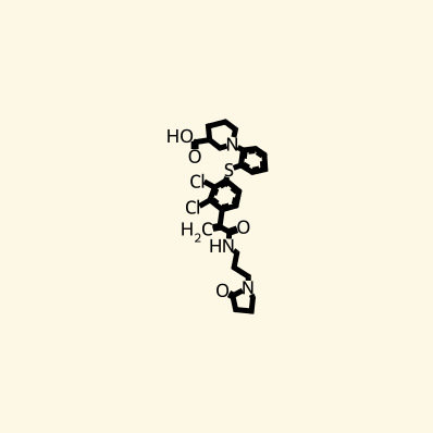 C=C(C(=O)NCCCN1CCCC1=O)c1ccc(Sc2ccccc2N2CCCC(C(=O)O)C2)c(Cl)c1Cl